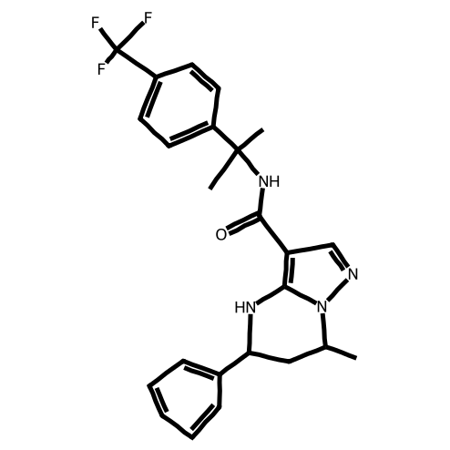 CC1CC(c2ccccc2)Nc2c(C(=O)NC(C)(C)c3ccc(C(F)(F)F)cc3)cnn21